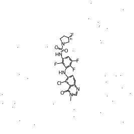 Cn1cnc2ccc(Nc3c(F)c(F)cc(NS(=O)(=O)N4CC[C@@H](F)C4)c3F)c(Cl)c2c1=O